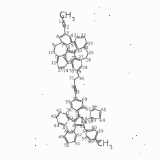 CC#Cc1ccc2c(c1)CCc1ccccc1/C2=C1/c2ccccc2CCc2cc(CCC#Cc3ccc(-c4c(-c5ccccc5)c(-c5ccccc5)c(-c5ccc(C)cc5)n4-c4ccccc4)cc3)ccc21